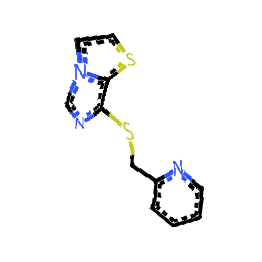 c1ccc(CSc2ncn3ccsc23)nc1